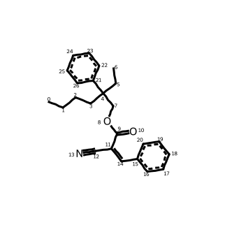 CCCCC(CC)(COC(=O)C(C#N)=Cc1ccccc1)c1ccccc1